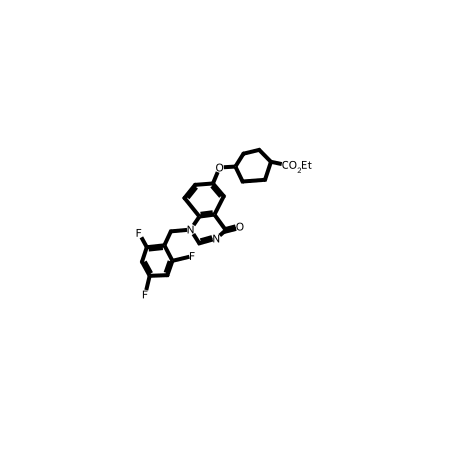 CCOC(=O)C1CCC(Oc2ccc3c(c2)c(=O)ncn3Cc2c(F)cc(F)cc2F)CC1